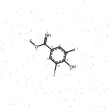 COC(=N)c1cc(I)c(O)c(I)c1